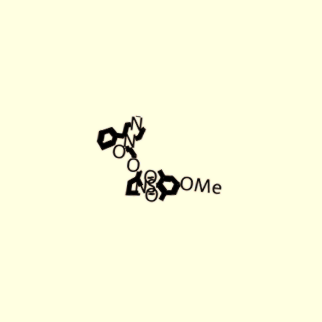 COc1cc(C)c(S(=O)(=O)N2CCCC2COCC(=O)N2CCN(C)CC2c2ccccc2)c(C)c1